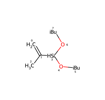 C=C(C)[SiH](OC(C)CC)OC(C)CC